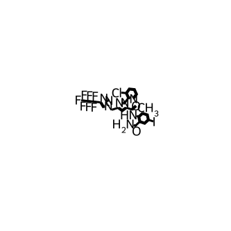 Cc1cc(I)cc(C(N)=O)c1NC(=O)c1cc(Cn2cc(C(F)(F)C(F)(F)C(F)(F)F)nn2)nn1-c1ncccc1Cl